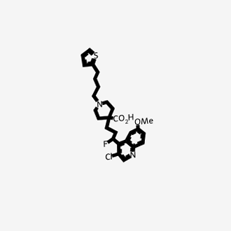 COc1ccc2ncc(Cl)c(C(F)CCC3(C(=O)O)CCN(CCCCc4cccs4)CC3)c2c1